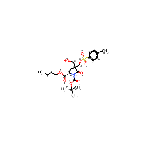 CCCCOC(=O)[C@@H]1CC(CO)(COS(=O)(=O)c2ccc(C)cc2)C(=O)N1C(=O)OC(C)(C)C